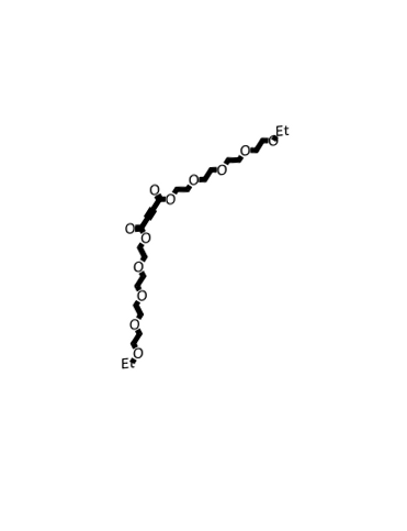 CCOCCOCCOCCOCCOC(=O)C#CC(=O)OCCOCCOCCOCCOCC